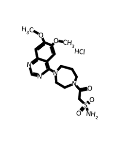 COc1cc2ncnc(N3CCCN(C(=O)CS(N)(=O)=O)CC3)c2cc1OC.Cl